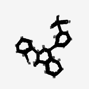 CS(=O)(=O)c1cccc(-c2nn(-c3ccccc3F)c(=O)c3ccccc23)c1